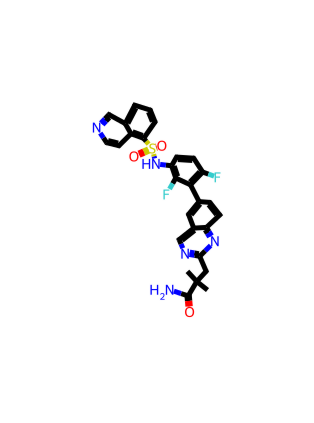 CC(C)(Cc1ncc2cc(-c3c(F)ccc(NS(=O)(=O)c4cccc5cnccc45)c3F)ccc2n1)C(N)=O